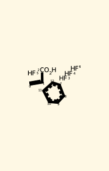 C=CC(=O)O.F.F.F.F.c1ccccc1